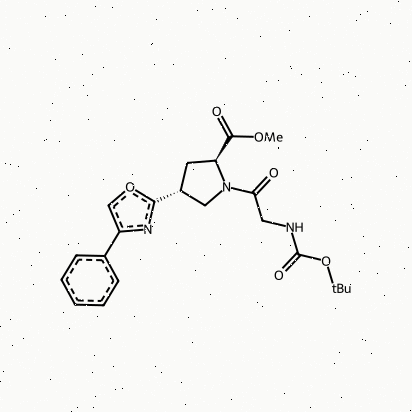 COC(=O)[C@@H]1C[C@@H](c2nc(-c3ccccc3)co2)CN1C(=O)CNC(=O)OC(C)(C)C